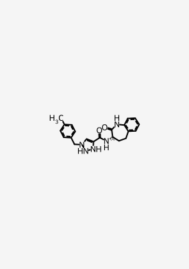 Cc1ccc(CN2C=C(C(=O)N[C@H]3CCc4ccccc4NC3=O)NN2)cc1